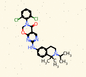 CC(C)N1CCc2cc(Nc3ncc4c(n3)OCN(c3c(Cl)cccc3Cl)C4=O)ccc2C1(C)C